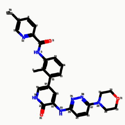 Cc1c(NC(=O)c2ccc(C(C)(C)C)cn2)cccc1-c1c[nH]c(=O)c(Nc2ccc(N3CCOCC3)nn2)c1